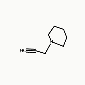 C#CCN1C[CH]CCC1